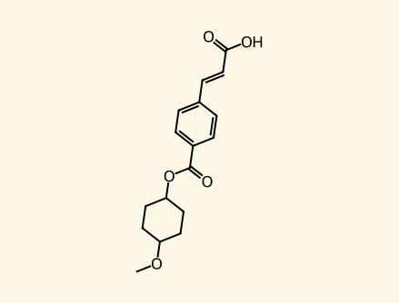 COC1CCC(OC(=O)c2ccc(C=CC(=O)O)cc2)CC1